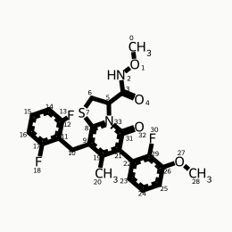 CONC(=O)C1CSc2c(Cc3c(F)cccc3F)c(C)c(-c3cccc(OC)c3F)c(=O)n21